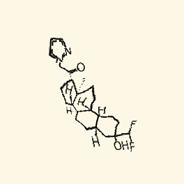 C[C@]12CC[C@H]3[C@@H](CC[C@H]4C[C@@](O)(C(F)F)CC[C@@H]43)[C@@H]1CC[C@@H]2C(=O)Cn1cccn1